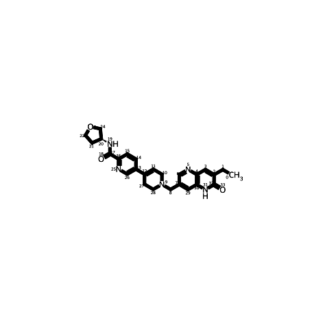 CCc1cc2ncc(CN3CC=C(c4ccc(C(=O)N[C@@H]5CCOC5)nc4)CC3)cc2[nH]c1=O